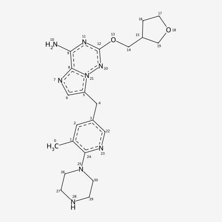 Cc1cc(Cc2cnc3c(N)nc(OCC4CCOC4)nn23)cnc1N1CCNCC1